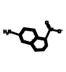 Nc1ccc2c([N+](=O)[O-])cccc2c1